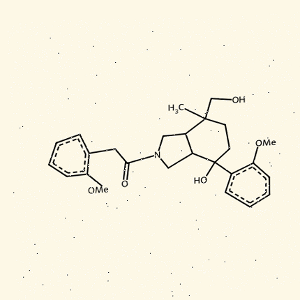 COc1ccccc1CC(=O)N1CC2C(C1)C(O)(c1ccccc1OC)CCC2(C)CO